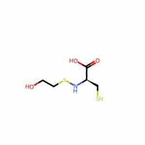 O=C(O)[C@@H](CS)NSCCO